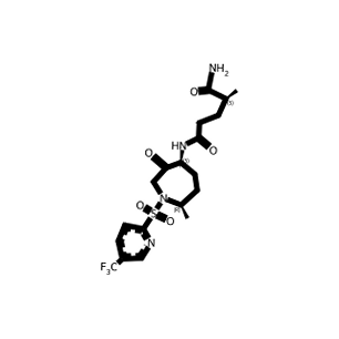 C[C@@H]1CC[C@H](NC(=O)[CH]C[C@H](C)C(N)=O)C(=O)CN1S(=O)(=O)c1ccc(C(F)(F)F)cn1